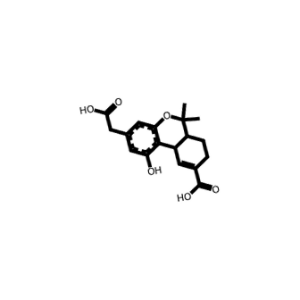 CC1(C)Oc2cc(CC(=O)O)cc(O)c2C2C=C(C(=O)O)CCC21